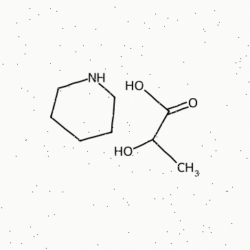 C1CCNCC1.CC(O)C(=O)O